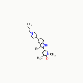 Cc1cc(-c2[nH]c3ccc(C4CCN(CCCC(F)(F)F)CC4)cc3c2C(C)C)cn(C)c1=O